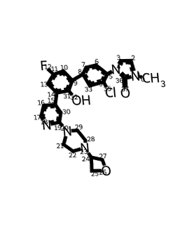 Cn1ccn(-c2ccc(-c3cc(F)cc(-c4ccnc(N5CCN(C6COC6)CC5)c4)c3O)cc2Cl)c1=O